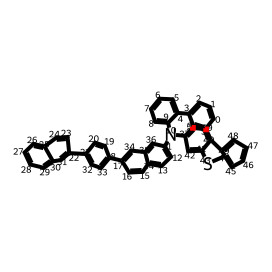 c1ccc(-c2ccccc2N(c2ccc3ccc(-c4ccc(-c5ccc6ccccc6c5)cc4)cc3c2)c2ccc3c(c2)sc2ccccc23)cc1